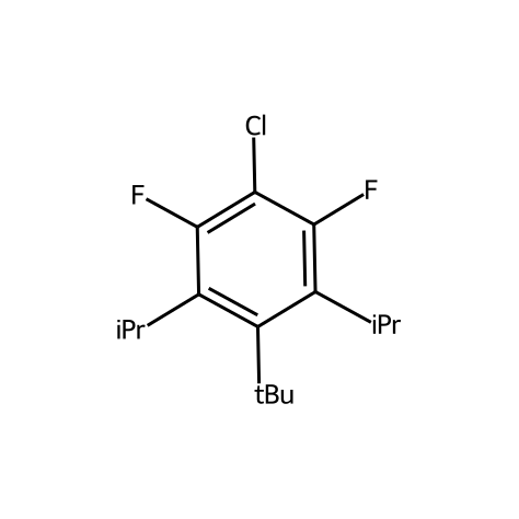 CC(C)c1c(F)c(Cl)c(F)c(C(C)C)c1C(C)(C)C